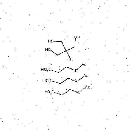 CC(=O)SCCC(=O)O.CC(=O)SCCC(=O)O.CC(=O)SCCC(=O)O.CCC(CO)(CO)CO